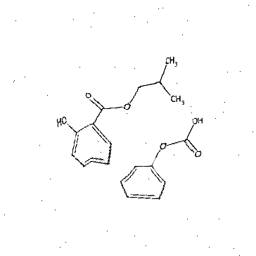 CC(C)COC(=O)c1ccccc1O.O=C(O)Oc1ccccc1